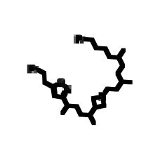 CC(C)CCCCC(C)CCC(C)CCN1CC(C(C)CCC(C)c2cc(CCC(C)C)on2)C1